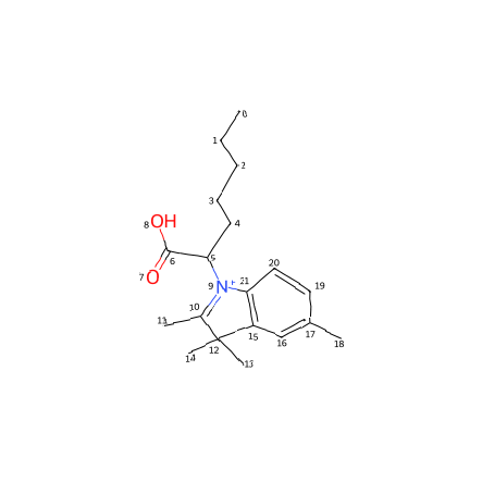 CCCCCC(C(=O)O)[N+]1=C(C)C(C)(C)c2cc(C)ccc21